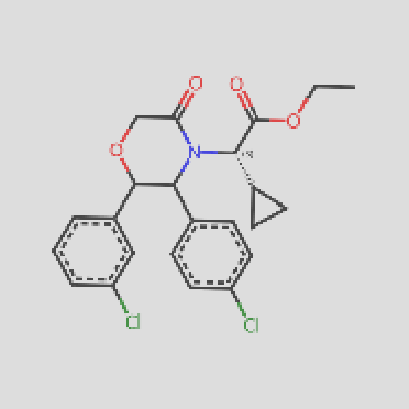 CCOC(=O)[C@H](C1CC1)N1C(=O)COC(c2cccc(Cl)c2)C1c1ccc(Cl)cc1